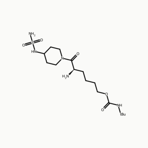 CC(C)(C)NC(=O)OCCCC[C@@H](N)C(=O)N1CCC(NS(N)(=O)=O)CC1